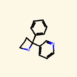 c1ccc(C2(c3cccnc3)CC[N]2)cc1